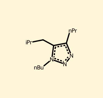 CCCCn1nnc(CCC)c1CC(C)C